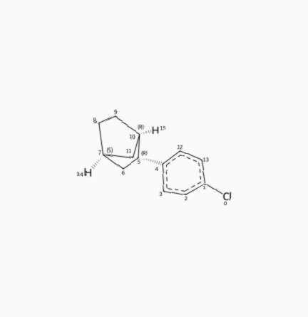 Clc1ccc([C@@H]2C[C@H]3CC[C@@H]2C3)cc1